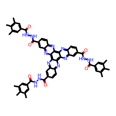 Cc1cc(C(=O)NNC(=O)c2ccc3nc4c5nc6ccc(C(=O)NNC(=O)c7cc(C)c(C)c(C)c7)cc6nc5c5nc6cc(C(=O)NNC(=O)c7cc(C)c(C)c(C)c7)ccc6nc5c4nc3c2)cc(C)c1C